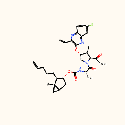 C=CCCC[C@H]1[C@H](OC(=O)N[C@H](C(=O)N2C[C@H](Oc3nc4cc(F)ccc4nc3C=C)[C@@H](C)[C@H]2C(=O)OCC(C)C)C(C)(C)C)CC2C[C@@H]21